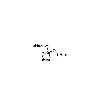 CCCCCCO[Si](C)(OCCCCCC)OCCCCCC